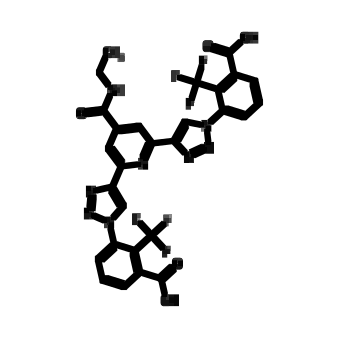 CCNC(=O)c1cc(-c2cn(-c3cccc(C(=O)O)c3C(F)(F)F)nn2)nc(-c2cn(-c3cccc(C(=O)O)c3C(F)(F)F)nn2)c1